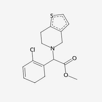 COC(=O)C(C1=C(Cl)C=CCC1)N1CCc2sccc2C1